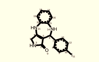 O=C1NCC2=C1C(c1ccc(I)cc1)Nc1ccccc1N2